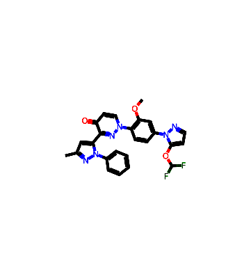 COc1cc(-n2nccc2OC(F)F)ccc1-n1ccc(=O)c(-c2cc(C)nn2-c2ccccc2)n1